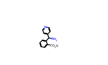 NC(c1ccncc1)c1ccccc1C(=O)O